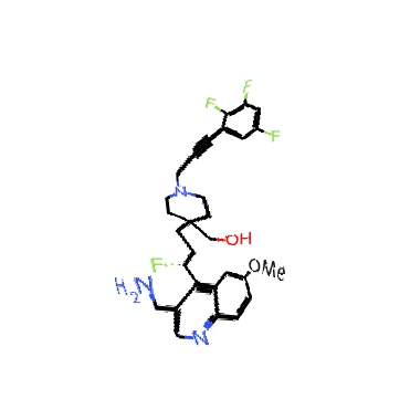 COc1ccc2ncc(CN)c([C@H](F)CCC3(CO)CCN(CC#Cc4cc(F)cc(F)c4F)CC3)c2c1